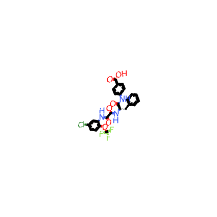 O=C(Nc1cc(Cl)ccc1OC(F)(F)F)C(=O)N[C@@H](Cc1ccccc1)C(=O)Nc1ccc(C(=O)O)cc1